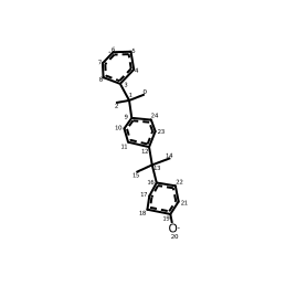 CC(C)(c1cc[c]cc1)c1ccc(C(C)(C)c2ccc([O])cc2)cc1